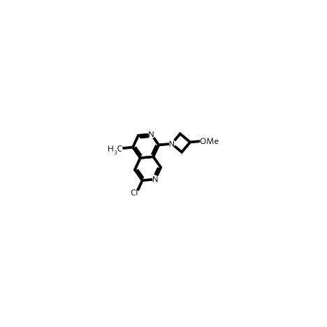 COC1CN(c2ncc(C)c3cc(Cl)ncc23)C1